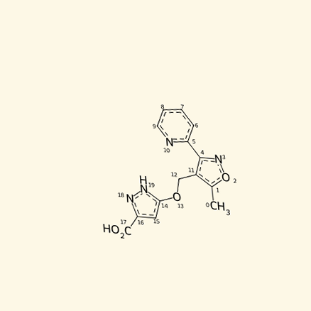 Cc1onc(-c2ccccn2)c1COc1cc(C(=O)O)n[nH]1